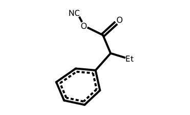 CCC(C(=O)OC#N)c1ccccc1